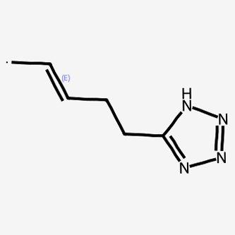 [CH2]/C=C/CCc1nnn[nH]1